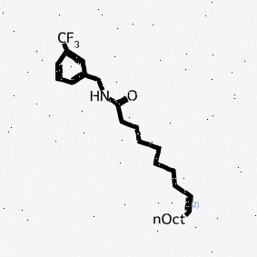 CCCCCCCC/C=C\CCCCCCCC(=O)NCc1cccc(C(F)(F)F)c1